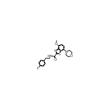 COc1ccc(N2CCOCC2)c2sc(C(=O)NCCc3ccc(F)cc3)nc12